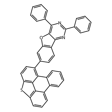 c1ccc(-c2nc(-c3ccccc3)c3oc4cc(-c5ccc6sc7cccc8c9ccccc9c5c6c78)ccc4c3n2)cc1